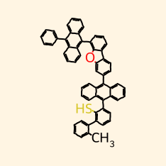 Cc1ccccc1-c1cccc(-c2c3ccccc3c(-c3ccc4c(c3)oc3c(-c5c6ccccc6c(-c6ccccc6)c6ccccc56)cccc34)c3ccccc23)c1S